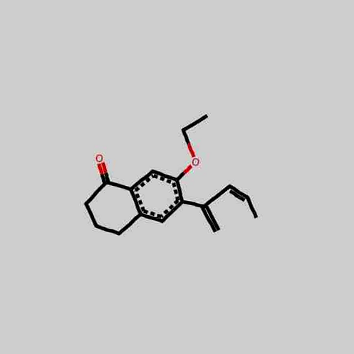 C=C(/C=C\C)c1cc2c(cc1OCC)C(=O)CCC2